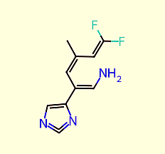 C/C(C=C(F)F)=C/C(=C\N)C1=CN=C=N1